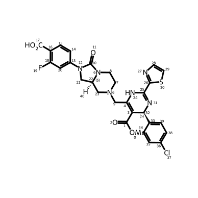 COC(=O)C1=C(CN2CCN3C(=O)N(c4ccc(C(=O)O)c(F)c4)C[C@@H]3C2)NC(c2nccs2)=N[C@H]1c1ccc(Cl)cc1